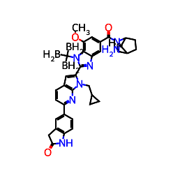 BC(B)(B)n1c(-c2cc3ccc(-c4ccc5c(c4)CC(=O)N5)nc3n2CC2CC2)nc2cc(C(=O)N3CC4CCC3[C@@H]4N)cc(OC)c21